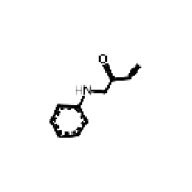 C=CC(=O)CNc1ccccc1